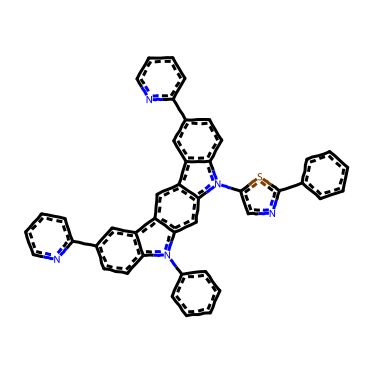 c1ccc(-c2ncc(-n3c4ccc(-c5ccccn5)cc4c4cc5c6cc(-c7ccccn7)ccc6n(-c6ccccc6)c5cc43)s2)cc1